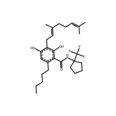 CCCCCc1cc(O)c(C/C=C(\C)CCC=C(C)C)c(O)c1C(=O)NC1(C(F)(F)F)CCCC1